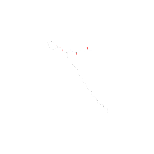 CCCCCCCCCCCCCCCOCC(COC1CCCCO1)NC(=O)CCC(N)=O